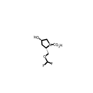 O=C(O)N1C[C@H](O)C[C@H]1COC(F)F